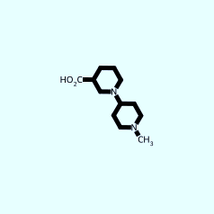 CN1CCC(N2CCCC(C(=O)O)C2)CC1